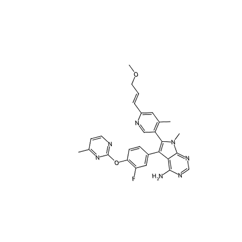 COC/C=C/c1cc(C)c(-c2c(-c3ccc(Oc4nccc(C)n4)c(F)c3)c3c(N)ncnc3n2C)cn1